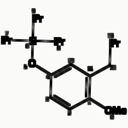 COc1ccc(O[Si](C(C)C)(C(C)C)C(C)C)cc1CC(C)C